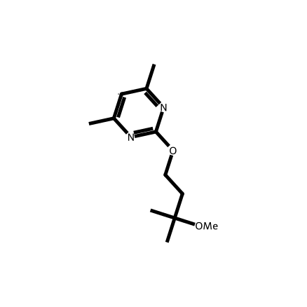 COC(C)(C)CCOc1nc(C)[c]c(C)n1